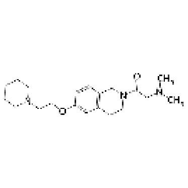 CN(C)CC(=O)N1CCc2cc(OCCN3CCCCC3)ccc2C1